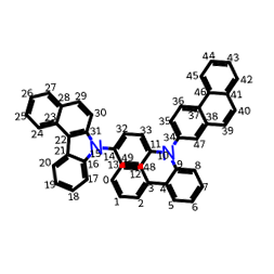 c1ccc(-c2ccccc2N(c2ccc(-n3c4ccccc4c4c5ccccc5ccc43)cc2)c2ccc3c(ccc4ccccc43)c2)cc1